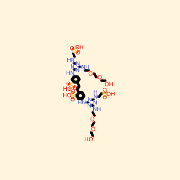 O=S(=O)(O)CCNc1nc(NCCOCCOCCO)nc(Nc2ccc(C=Cc3ccc(Nc4nc(NCCOCCOCCO)nc(NCCS(=O)(=O)O)n4)cc3S(=O)(=O)O)c(S(=O)(=O)O)c2)n1